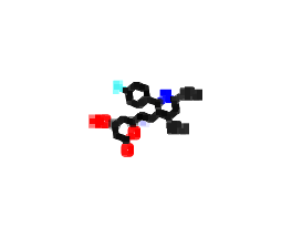 CC(C)(C)c1cc(C(C)(C)C)c(/C=C/[C@@H]2C[C@@H](O)CC(=O)O2)c(-c2ccc(F)cc2)n1